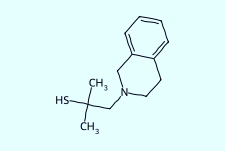 CC(C)(S)CN1CCc2ccccc2C1